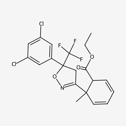 CCOC(=O)C1C=CC=CC1(C)C1=NOC(c2cc(Cl)cc(Cl)c2)(C(F)(F)F)C1